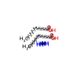 CCCCCCCC/C=C\CCCCCCCC(=O)O.CCCCCCCC/C=C\CCCCCCCC(=O)O.N=N.N=N